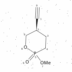 C#C[C@H]1CCP(=O)(OC)OC1